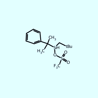 CC(C)(C)C[SiH](OS(=O)(=O)C(F)(F)F)C(C)(C)c1ccccc1